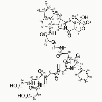 CC[C@@]1(O)C(=O)OCc2c1cc1n(c2=O)Cc2c-1nc1cc(F)c(C)c3c1c2[C@@H](NC(=O)[C@@H](C)OCNC(=O)CNC(=O)[C@H](Cc1ccccc1)NC(=O)CNC(=O)CNC(=O)[C@H](CNCC(=O)O)NC(=O)/C=C\C(=O)O)CC3